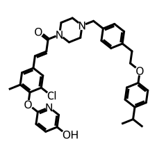 Cc1cc(C=CC(=O)N2CCN(Cc3ccc(CCOc4ccc(C(C)C)cc4)cc3)CC2)cc(Cl)c1Oc1ccc(O)cn1